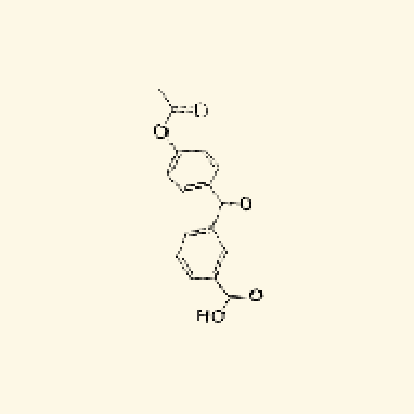 CC(=O)Oc1ccc(C(=O)c2cccc(C(=O)O)c2)cc1